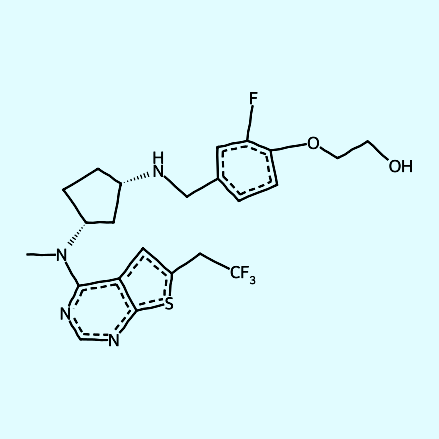 CN(c1ncnc2sc(CC(F)(F)F)cc12)[C@@H]1CC[C@H](NCc2ccc(OCCO)c(F)c2)C1